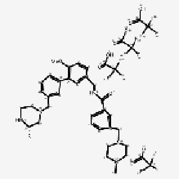 COc1ccc(CNC(=O)c2cccc(CN3CCN(C)CC3)c2)cc1-c1cccc(CN2CCN[C@@H](C)C2)c1.O=C(O)C(F)(F)F.O=C(O)C(F)(F)F.O=C(O)C(F)(F)F.O=C(O)C(F)(F)F